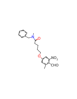 Cc1cc(OCCCCC(=O)N(C)Cc2ccccc2)cc([N+](=O)[O-])c1C=O